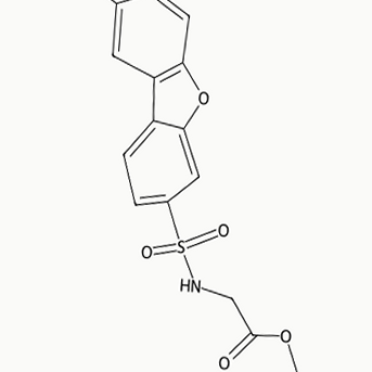 COC(=O)CNS(=O)(=O)c1ccc2c(c1)oc1ccc(Br)cc12